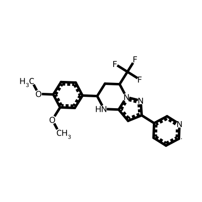 COc1ccc(C2CC(C(F)(F)F)n3nc(-c4cc[c]nc4)cc3N2)cc1OC